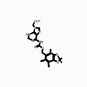 Cc1c(C)c2c(c(C)c1COC(=O)NC1=NCNc3c1ncn3CC(=O)O)OC(C)(C)O2